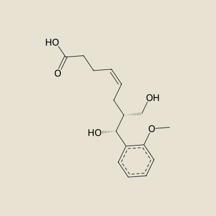 COc1ccccc1[C@H](O)[C@@H](CO)C/C=C\CCC(=O)O